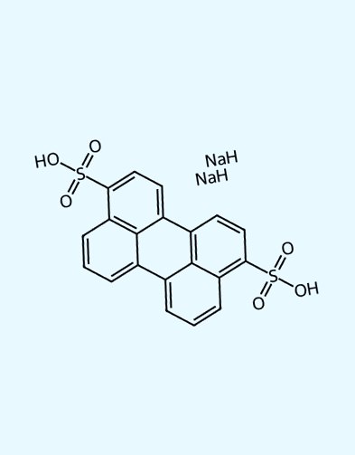 O=S(=O)(O)c1ccc2c3ccc(S(=O)(=O)O)c4cccc(c5cccc1c52)c43.[NaH].[NaH]